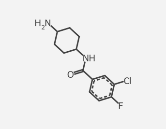 NC1CCC(NC(=O)c2ccc(F)c(Cl)c2)CC1